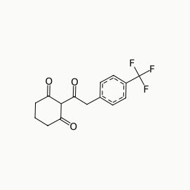 O=C1CCCC(=O)C1C(=O)Cc1ccc(C(F)(F)F)cc1